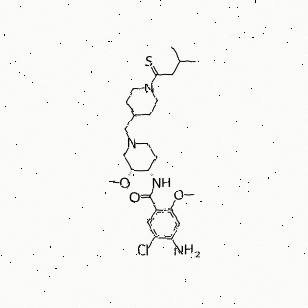 COc1cc(N)c(Cl)cc1C(=O)N[C@H]1CCN(CC2CCN(C(=S)CC(C)C)CC2)C[C@H]1OC